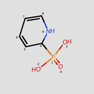 O=P(O)(O)C1C=CC=CN1